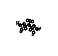 FCc1ccc(N(c2ccc(C(F)(F)F)cc2)c2c3ccccc3c(-c3cc(-c4c5ccccc5cc5ccccc45)cc(-c4c5ccccc5c(N(c5ccc(C(F)(F)F)cc5)c5ccc(C(F)(F)F)cc5)c5ccccc45)c3)c3ccccc23)cc1